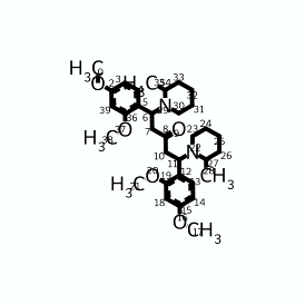 COc1ccc(C(CC(=O)CC(c2ccc(OC)cc2OC)N2CCCCC2C)N2CCCCC2C)c(OC)c1